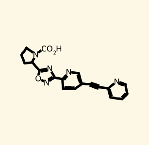 O=C(O)N1CCCC1c1nc(-c2ccc(C#Cc3ccccn3)cn2)no1